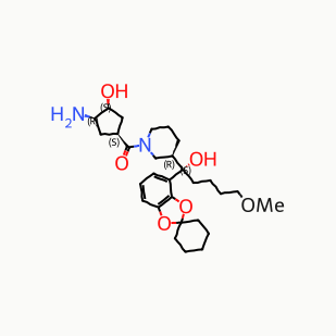 COCCCC[C@@](O)(c1cccc2c1OC1(CCCCC1)O2)[C@@H]1CCCN(C(=O)[C@H]2C[C@@H](N)[C@@H](O)C2)C1